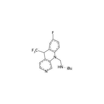 CC[C@@H](C)NCN1c2ccc(F)cc2C(C(F)(F)F)c2ccncc21